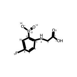 O=C(O)CNc1ccc(F)cc1[N+](=O)[O-]